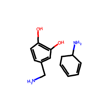 NC1C=CC=CC1.NCc1ccc(O)c(O)c1